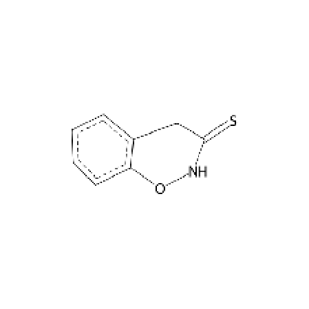 S=C1Cc2ccccc2ON1